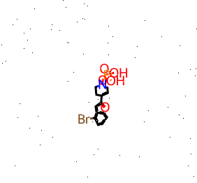 O=P(O)(O)ON1CC=C(c2cc3c(Br)cccc3o2)CC1